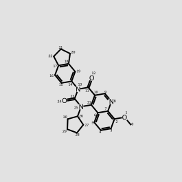 COc1cccc2c1ncc1c(=O)n(-c3ccc4c(c3)CCC4)c(=O)n(C3CCCC3)c12